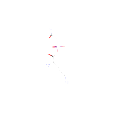 NCCC[C@@H](N)C(=O)OP(=O)(O)OC(N)=O